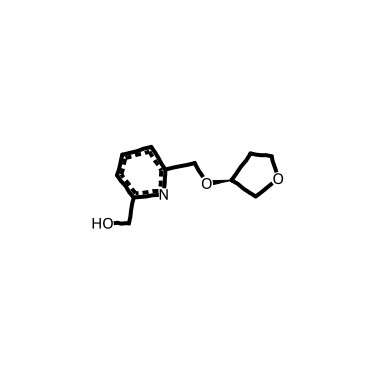 OCc1cccc(CO[C@H]2CCOC2)n1